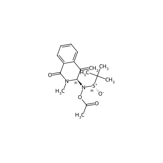 C=C1c2ccccc2C(=O)N(C)[C@@H]1N(OC(C)=O)[S@@+]([O-])C(C)(C)C